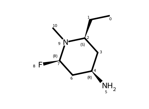 CC[C@H]1C[C@@H](N)C[C@@H](F)N1C